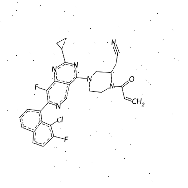 C=CC(=O)N1CCN(c2nc(C3CC3)nc3c(F)c(-c4cccc5ccc(F)c(Cl)c45)ncc23)CC1CC#N